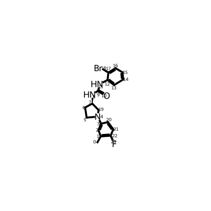 Cc1cc(N2CC[C@@H](NC(=O)Nc3ccccc3Br)C2)ccc1F